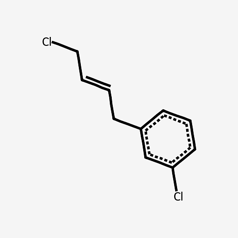 ClCC=CCc1cccc(Cl)c1